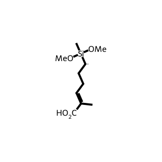 CO[Si](C)([CH]CCC=C(C)C(=O)O)OC